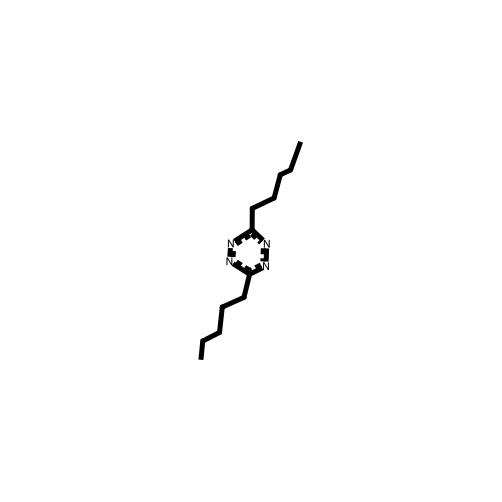 CCCCCc1nnc(CCCCC)nn1